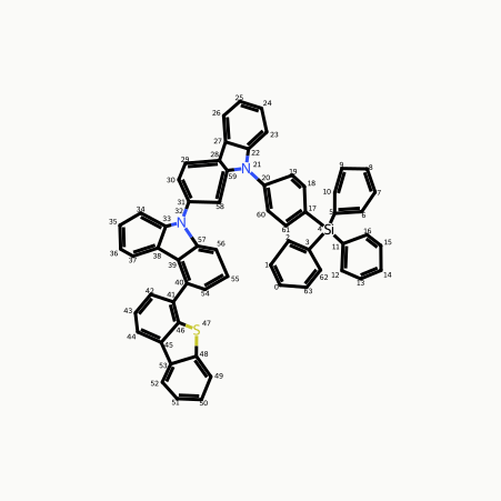 c1ccc([Si](c2ccccc2)(c2ccccc2)c2ccc(-n3c4ccccc4c4ccc(-n5c6ccccc6c6c(-c7cccc8c7sc7ccccc78)cccc65)cc43)cc2)cc1